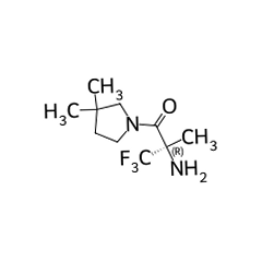 CC1(C)CCN(C(=O)[C@@](C)(N)C(F)(F)F)C1